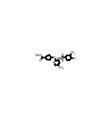 COC(=O)c1ccc(Oc2ncc(C)cc2NS(=O)(=O)c2ccc(Cl)c(C(F)(F)F)c2)cc1